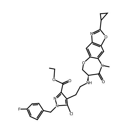 CCOC(=O)c1nn(Cc2ccc(F)cc2)c(Cl)c1CCN[C@H]1COc2cc3nc(C4CC4)oc3cc2N(C)C1=O